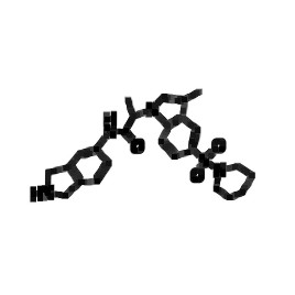 Cc1cn(C(C)C(=O)Nc2ccc3c(c2)CNC3)c2ccc(S(=O)(=O)N3CCCCC3)cc12